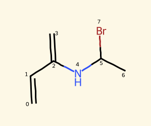 C=CC(=C)NC(C)Br